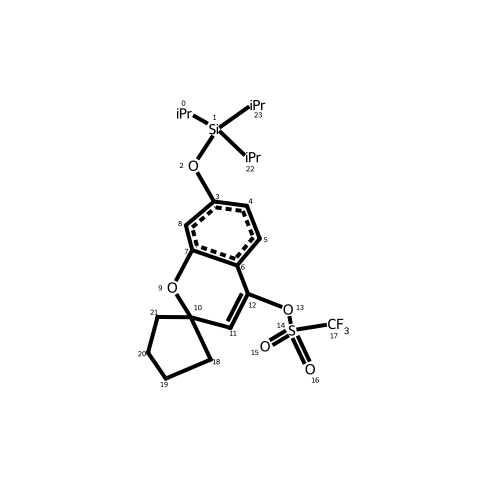 CC(C)[Si](Oc1ccc2c(c1)OC1(C=C2OS(=O)(=O)C(F)(F)F)CCCC1)(C(C)C)C(C)C